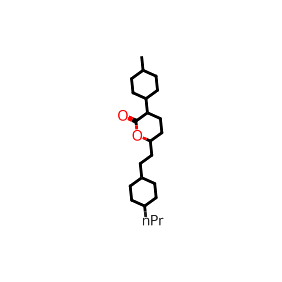 CCCC1CCC(CCC2CCC(C3CCC(C)CC3)C(=O)O2)CC1